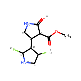 COC(=O)C1C(=O)NCC1C1C(F)CNC1F